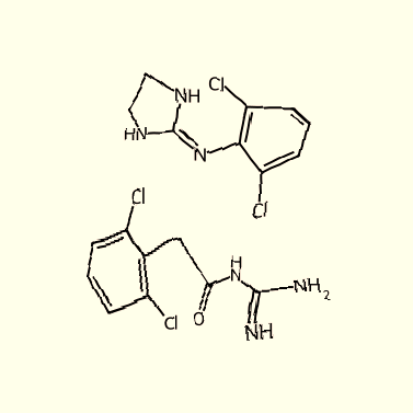 Clc1cccc(Cl)c1N=C1NCCN1.N=C(N)NC(=O)Cc1c(Cl)cccc1Cl